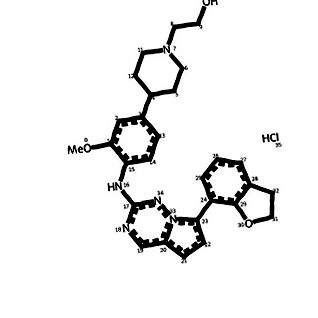 COc1cc(C2CCN(CCO)CC2)ccc1Nc1ncc2ccc(-c3cccc4c3OCC4)n2n1.Cl